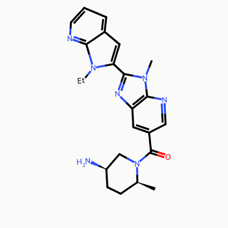 CCn1c(-c2nc3cc(C(=O)N4C[C@H](N)CC[C@@H]4C)cnc3n2C)cc2cccnc21